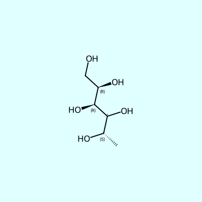 C[C@H](O)[C](O)[C@@H](O)[C@H](O)CO